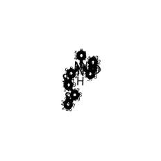 c1ccc(C2=NC(c3ccc4sc5ccc(-c6cccc7c6sc6ccccc67)cc5c4c3)NC(c3cccc4oc5ccccc5c34)N2)cc1